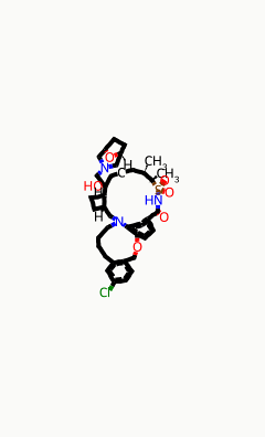 C[C@@H]1[C@@H](C)CCC[C@@](O)(CN2CC3CC[C@@H](C2)O3)[C@@H]2CC[C@H]2CN2CCCCc3cc(Cl)ccc3COc3ccc(cc32)C(=O)NS1(=O)=O